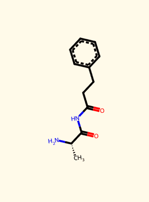 C[C@H](N)C(=O)NC(=O)CCc1ccccc1